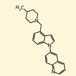 C[C]1CCN(Cc2cccc3c2ccn3-c2ccc3ncccc3c2)CC1